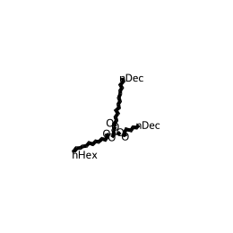 CCCCCC/C=C\CCCCCCCCCC(=O)O[C@@H](COC(=O)CCCCCCCCCCCCCC)COC(=O)CCCCCCCCCCCCCCCCCCCCCCC